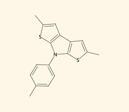 Cc1ccc(-n2c3sc(C)cc3c3cc(C)sc32)cc1